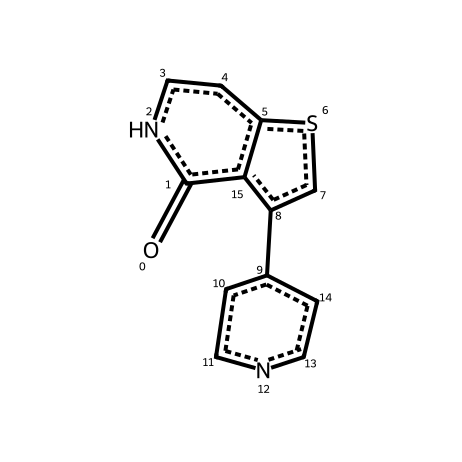 O=c1[nH]ccc2scc(-c3ccncc3)c12